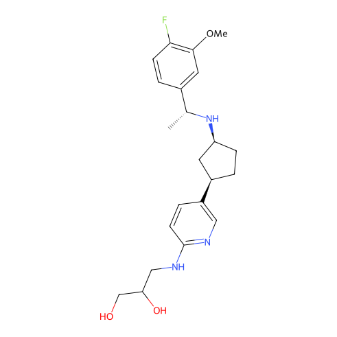 COc1cc([C@@H](C)N[C@H]2CC[C@@H](c3ccc(NCC(O)CO)nc3)C2)ccc1F